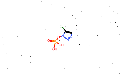 O=P(O)(O)On1nncc1Cl